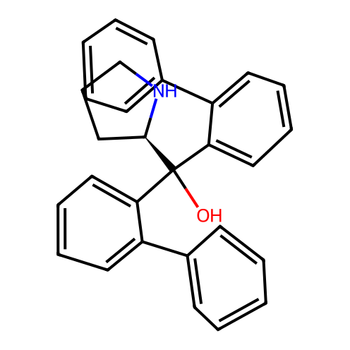 OC(c1ccccc1-c1ccccc1)(c1ccccc1-c1ccccc1)[C@H]1CCCN1